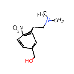 CN(C)CCc1cc(CO)ccc1[N+](=O)[O-]